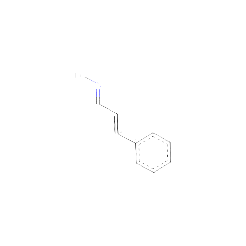 CCCC/N=C/C=C/c1ccccc1